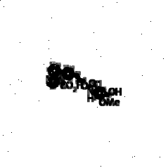 COc1cc(NC(=O)OCCCc2ccc(-c3ccccc3)c(N(C(=O)O)[C@H]3CN4CCC3CC4)c2)c(Cl)cc1CO